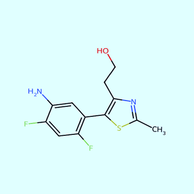 Cc1nc(CCO)c(-c2cc(N)c(F)cc2F)s1